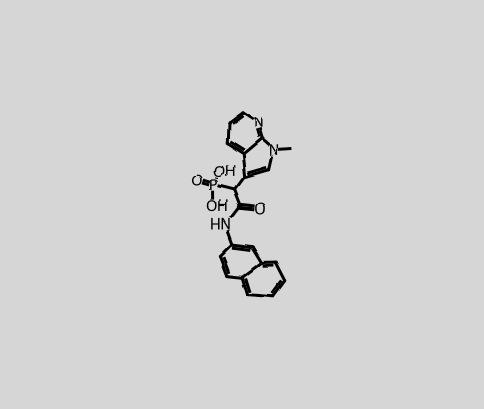 Cn1cc(C(C(=O)Nc2ccc3ccccc3c2)P(=O)(O)O)c2cccnc21